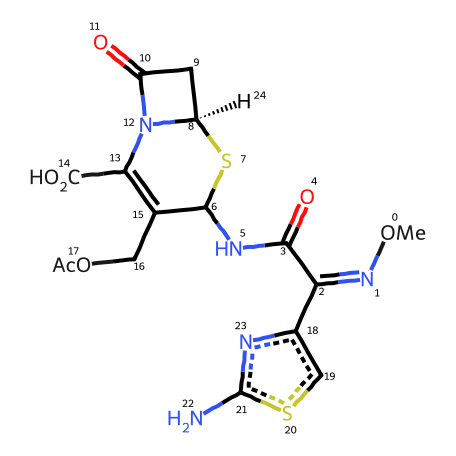 CO/N=C(\C(=O)NC1S[C@@H]2CC(=O)N2C(C(=O)O)=C1COC(C)=O)c1csc(N)n1